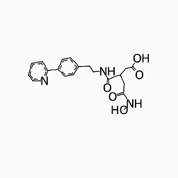 O=C(O)CC(CC(=O)NO)C(=O)NCCc1ccc(-c2ccccn2)cc1